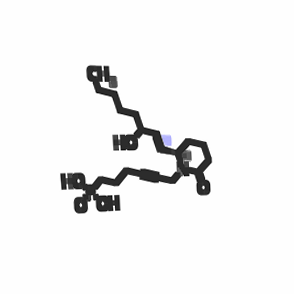 CCCCCC(O)/C=C/[C@H]1CCCC(=O)N1CC#CCCCP(=O)(O)O